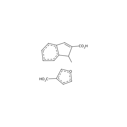 CC1C(C(=O)O)=Cc2ccccc21.O=C(O)c1ccoc1